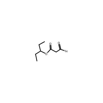 [2H]C(=O)CC(=O)OC(CC)CC